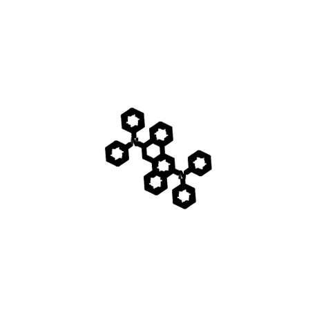 c1ccc(N(c2ccccc2)c2cc3c(c4ccccc24)CC(N(c2ccccc2)c2ccccc2)c2ccccc2-3)cc1